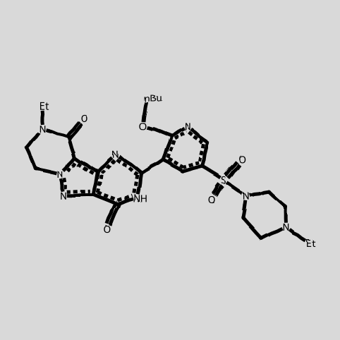 CCCCOc1ncc(S(=O)(=O)N2CCN(CC)CC2)cc1-c1nc2c3n(nc2c(=O)[nH]1)CCN(CC)C3=O